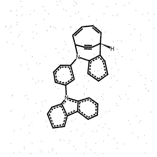 C1#C[C@@H]2/C=C\C=C/C1N(c1cccc(-n3c4ccccc4c4ccccc43)c1)c1ccccc12